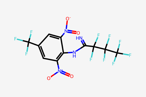 N=C(Nc1c([N+](=O)[O-])cc(C(F)(F)F)cc1[N+](=O)[O-])C(F)(F)C(F)(F)C(F)(F)F